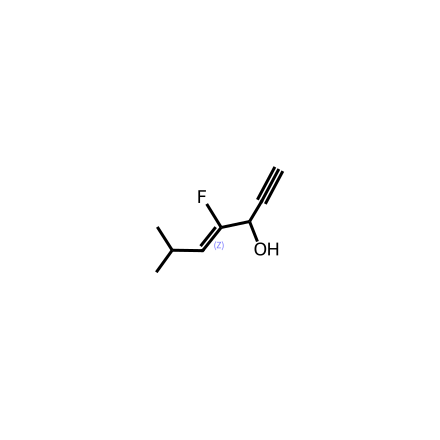 C#CC(O)/C(F)=C/C(C)C